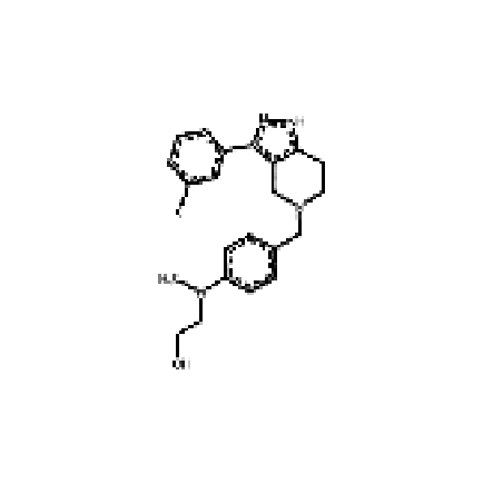 CN(CCO)c1ccc(CN2CCc3[nH]nc(-c4cccc(Cl)c4)c3C2)cc1